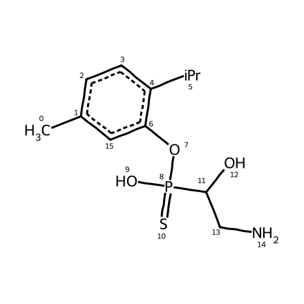 Cc1ccc(C(C)C)c(OP(O)(=S)C(O)CN)c1